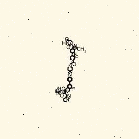 Cn1nc(N2CCC(=O)NC2=O)c2ccc([C@H]3CCN(C(=O)CN4CCC5(CC4)CN(c4ccc(-c6cc(F)c7c(c6)C(O)N(C(C(=O)Nc6nccs6)c6ncn8c6CCC8)C7)cc4)C5)CC3(F)F)cc21